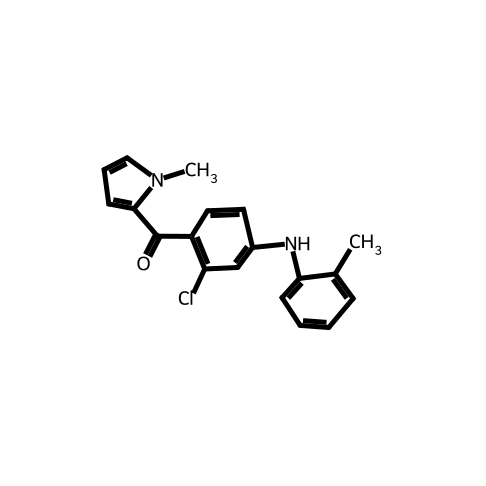 Cc1ccccc1Nc1ccc(C(=O)c2cccn2C)c(Cl)c1